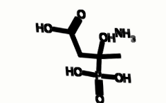 CC(O)(CC(=O)O)P(=O)(O)O.N